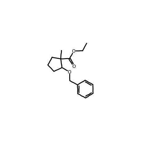 CCOC(=O)C1(C)CCCC1OCc1ccccc1